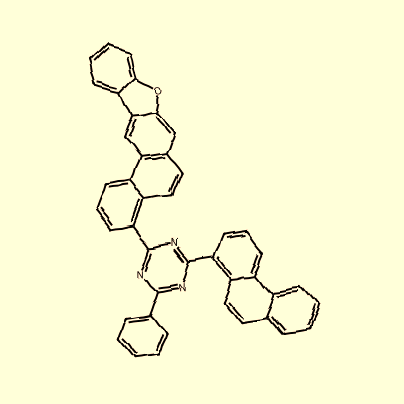 c1ccc(-c2nc(-c3cccc4c3ccc3ccccc34)nc(-c3cccc4c3ccc3cc5oc6ccccc6c5cc34)n2)cc1